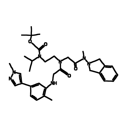 Cc1ccc(-c2cnn(C)c2)cc1NCC(=O)N(CCN(C(=O)OC(C)(C)C)C(C)C)CC(=O)N(C)N1Cc2ccccc2C1